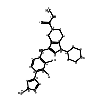 CNC(=O)N1CCc2c(c(Nc3ccc(-c4cnn(C)c4)c(F)c3F)nn2C2CCOCC2)C1